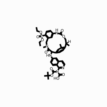 CCOP(=O)(OCC)c1ccc2cc1CN(C)C(=O)C(Nc1ccc3c(N(C(=O)O)C(=O)OC(C)(C)C)nccc3c1)c1ccc(c(C)c1)[C@@H](C)COC(=O)N2